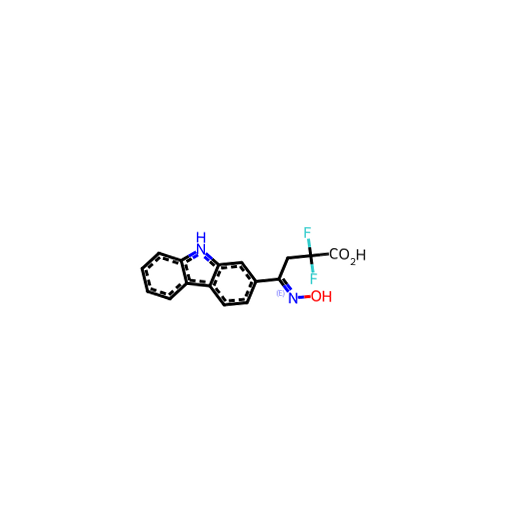 O=C(O)C(F)(F)C/C(=N\O)c1ccc2c(c1)[nH]c1ccccc12